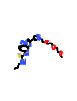 C=CCNC(=S)Nc1ccc2ncc(-c3cnn(CCOCCOCCOC)c3)nc2n1